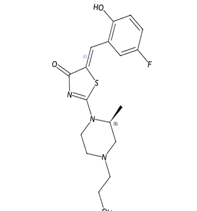 C[C@H]1CN(CCO)CCN1C1=NC(=O)/C(=C/c2cc(F)ccc2O)S1